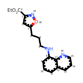 CCOC(=O)c1cc(CCCNc2cccc3cccnc23)on1